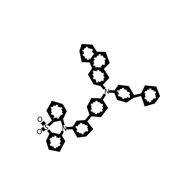 O=S1(=O)c2ccccc2N(c2cccc(-c3ccc(N(c4ccc(-c5ccccc5)cc4)c4ccc5c(ccc6ccccc65)c4)cc3)c2)c2ccccc21